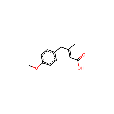 COc1ccc(CC(C)=CC(=O)O)cc1